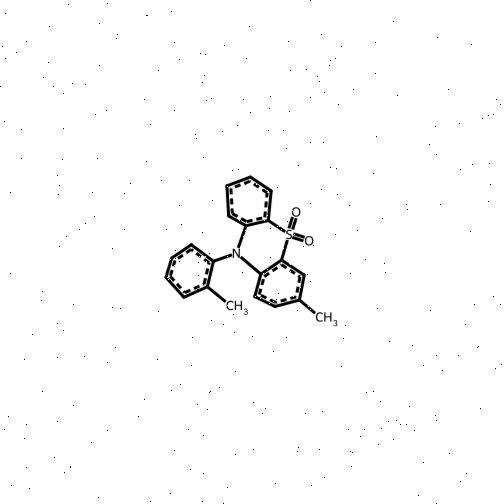 Cc1ccc2c(c1)S(=O)(=O)c1ccccc1N2c1ccccc1C